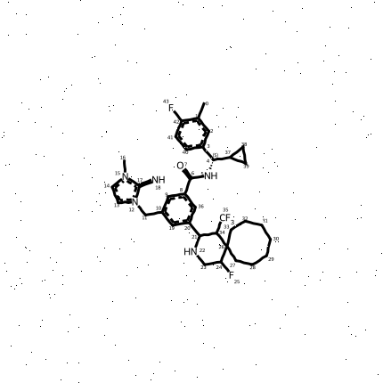 Cc1cc([C@@H](NC(=O)c2cc(Cn3ccn(C)c3=N)cc(C3NCC(F)C4(CCCCCCC4)C3C(F)(F)F)c2)C2CC2)ccc1F